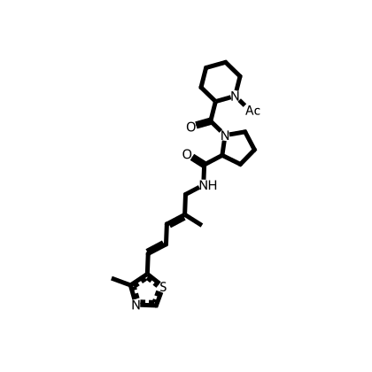 CC(=O)N1CCCCC1C(=O)N1CCCC1C(=O)NC/C(C)=C/C=C/c1scnc1C